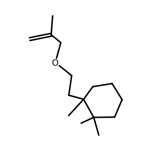 C=C(C)COCCC1(C)CCCCC1(C)C